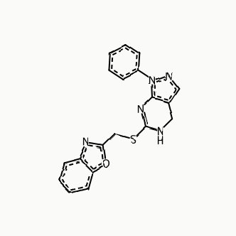 c1ccc(-n2ncc3c2N=C(SCc2nc4ccccc4o2)NC3)cc1